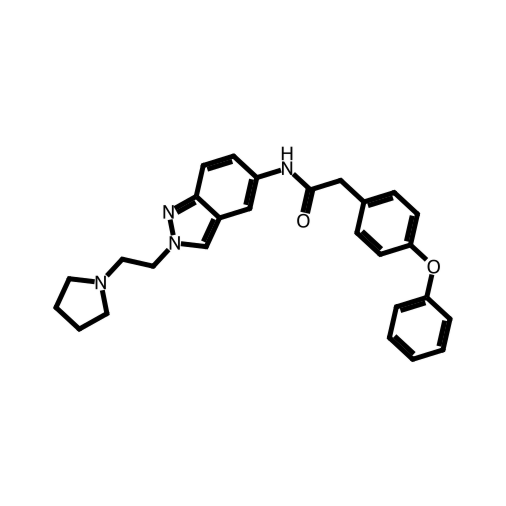 O=C(Cc1ccc(Oc2ccccc2)cc1)Nc1ccc2nn(CCN3CCCC3)cc2c1